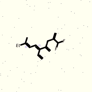 C=C/C(=C\C=C(/C)CC)C(=C)CC(=C)C(F)F